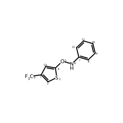 FC(F)(F)c1csc(ONc2ccccc2)c1